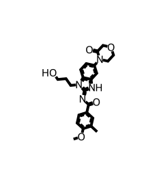 COc1ccc(C(=O)/N=c2\[nH]c3cc(N4CCOCC4=O)ccc3n2CCCO)cc1C